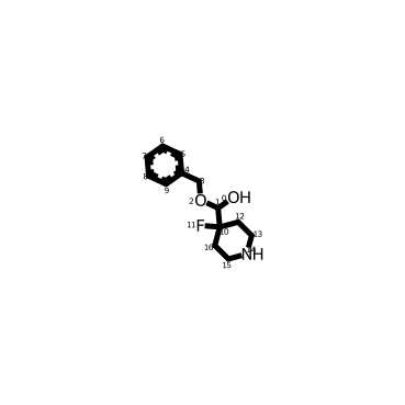 OC(OCc1ccccc1)C1(F)CCNCC1